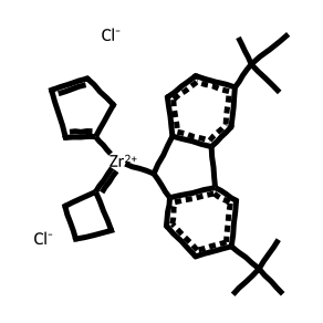 CC(C)(C)c1ccc2c(c1)-c1cc(C(C)(C)C)ccc1[CH]2[Zr+2]([C]1=CC=CC1)=[C]1CCC1.[Cl-].[Cl-]